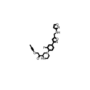 CC#COCC(=O)C1CN(c2ccc(-c3cc(CNc4ccon4)on3)cc2F)CCN1